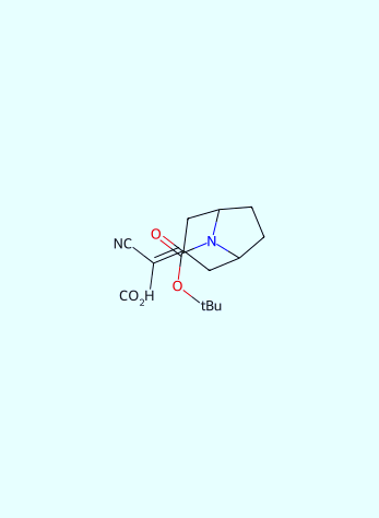 CC(C)(C)OC(=O)N1C2CCC1CC(=C(C#N)C(=O)O)C2